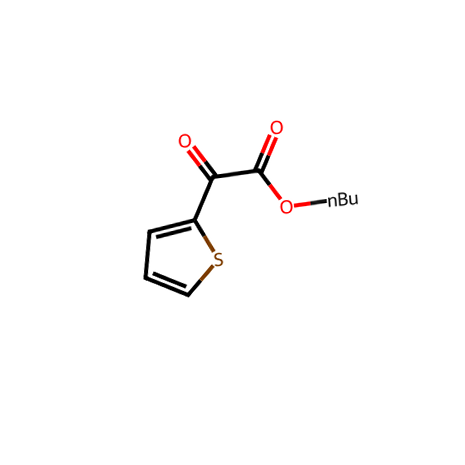 CCCCOC(=O)C(=O)c1cccs1